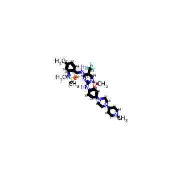 COc1cc(N2CCN(C3CCN(C)CC3)CC2)ccc1Nc1ncc(C(F)(F)F)c(NCc2ccc(C)cc2N(C)[S+](C)[O-])n1